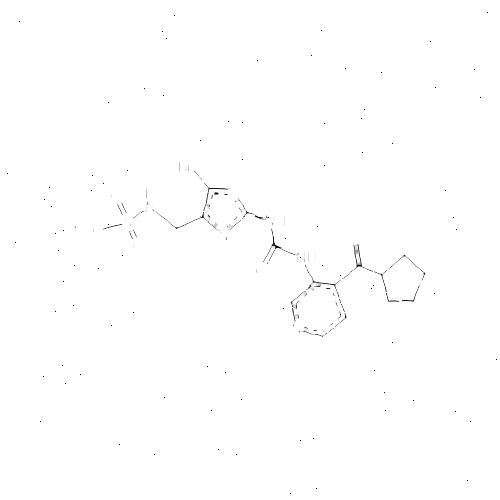 CS(=O)(=O)NCc1nc(NC(=O)Nc2cnccc2C(=O)C2CCCC2)sc1Br